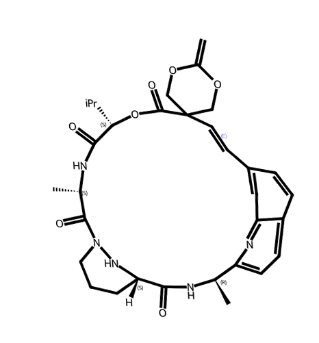 C=C1OCC2(/C=C/c3ccc4ccc(nc4c3)[C@@H](C)NC(=O)[C@@H]3CCCN(N3)C(=O)[C@H](C)NC(=O)[C@H](C(C)C)OC2=O)CO1